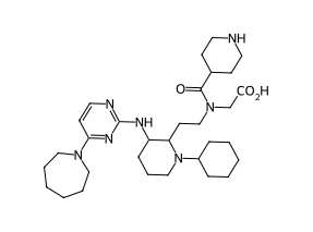 O=C(O)CN(CCC1C(Nc2nccc(N3CCCCCC3)n2)CCCN1C1CCCCC1)C(=O)C1CCNCC1